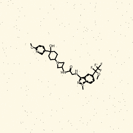 COc1ccc(C2(O)CCC(N3CC(NC(=O)CNc4nn(C)c5ccc(C(F)(OC)C(F)(F)F)cc45)C3)CC2)cn1